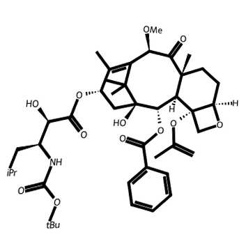 C=C(C)O[C@@]12CO[C@@H]1CC[C@@]1(C)C(=O)[C@H](OC)C3=C(C)[C@@H](OC(=O)[C@H](O)[C@H](CC(C)C)NC(=O)OC(C)(C)C)C[C@@](O)([C@@H](OC(=O)c4ccccc4)[C@H]21)C3(C)C